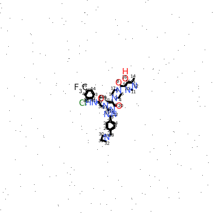 CCc1c(N2CCN(C(=O)c3ncnc(C)c3O)CC2)c(=O)n2nc(-c3ccc(CN4CCC4)cc3)nc2n1CC(=O)Nc1ccc(C(F)(F)F)cc1Cl